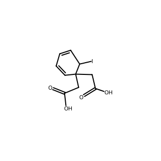 O=C(O)CC1(CC(=O)O)C=CC=CC1I